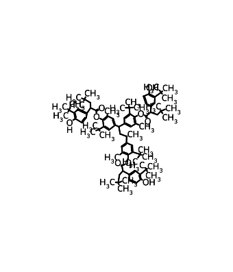 Cc1cc(C(C)CC(c2cc(C)c(OC(=O)C(CC(C)(C)C)c3ccc(O)c(C(C)(C)C)c3)c(C(C)(C)C)c2)c2cc(C)c(OC(=O)C(CC(C)(C)C)c3ccc(O)c(C(C)(C)C)c3)c(C(C)(C)C)c2)cc(C(C)(C)C)c1OC(=O)C(CC(C)(C)C)c1ccc(O)c(C(C)(C)C)c1